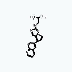 CC(C)CNc1ncc2c(-c3cnc4ncccc4c3)ccn2n1